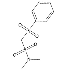 CN(C)S(=O)(=O)CS(=O)(=O)c1ccccc1